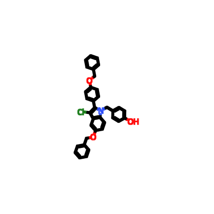 Oc1ccc(Cn2c(-c3ccc(OCc4ccccc4)cc3)c(Cl)c3cc(OCc4ccccc4)ccc32)cc1